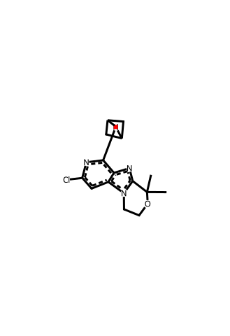 CC1(C)OCCn2c1nc1c(N3CC4CC3C4)nc(Cl)cc12